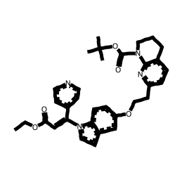 CCOC(=O)C=C(c1ccncc1)n1ccc2cc(OCCc3ccc4c(n3)N(C(=O)OC(C)(C)C)CCC4)ccc21